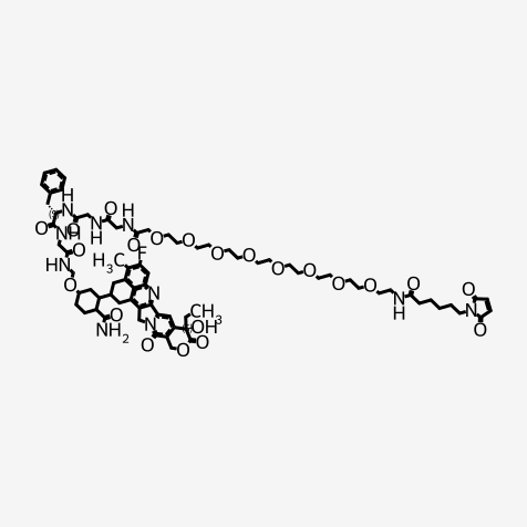 CC[C@@]1(O)C(=O)OCc2c1cc1n(c2=O)Cc2c-1nc1cc(F)c(C)c3c1c2CC(C1CC(OCNC(=O)CNC(=O)[C@H](Cc2ccccc2)NC(=O)CNC(=O)CNC(=O)COCCOCCOCCOCCOCCOCCOCCOCCNC(=O)CCCCCN2C(=O)C=CC2=O)CCC1C(N)=O)C3